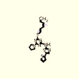 C=C/C=C\C=C\Sc1nc(Nc2ncc(-c3cccs3)s2)nc(N2CCCC2)n1